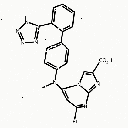 CCc1cc(N(C)c2ccc(-c3ccccc3-c3nnn[nH]3)cc2)n2cc(C(=O)O)nc2n1